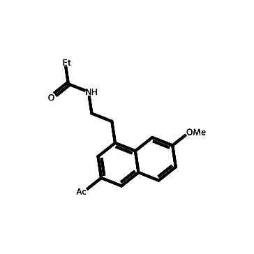 CCC(=O)NCCc1cc(C(C)=O)cc2ccc(OC)cc12